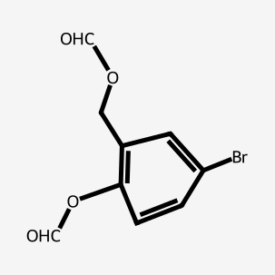 O=COCc1cc(Br)ccc1OC=O